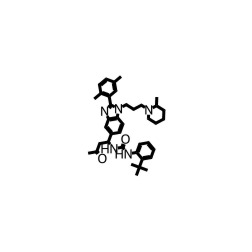 CC(=O)CC(NC(=O)Nc1ccccc1C(C)(C)C)c1ccc2c(c1)nc(-c1cc(C)ccc1C)n2CCCN1CCCCC1C